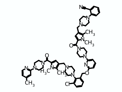 Cc1ccnc(N2CCN(C(=O)c3cc(CN4CCN(c5c(Cl)cccc5COc5cccc(N6CCN(C(=O)c7cc(CN8CCN(c9ccccc9C#N)CC8)c(C)n7C)CC6)n5)CC4)c(C)n3C)CC2)c1